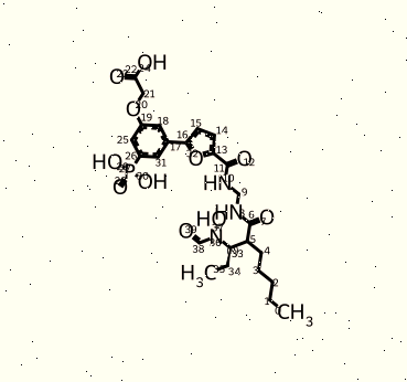 CCCCCC(C(=O)NCNC(=O)c1ccc(-c2cc(OCC(=O)O)cc(P(=O)(O)O)c2)o1)[C@@H](CC)N(O)C=O